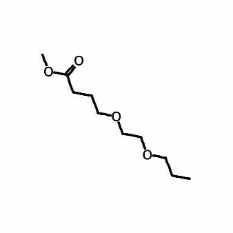 CCCOCCOCCCC(=O)OC